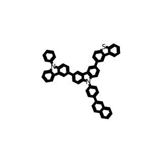 c1ccc(-n2c3ccccc3c3cc(-c4ccc5c(c4)c4cc(-c6ccc7sc8ccccc8c7c6)ccc4n5-c4ccc(-c5ccc6ccccc6c5)cc4)ccc32)cc1